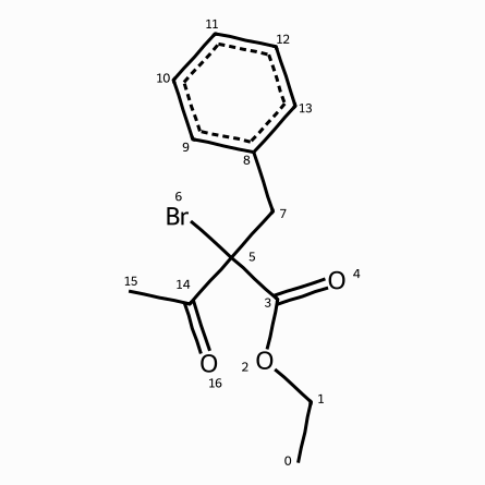 CCOC(=O)C(Br)(Cc1ccccc1)C(C)=O